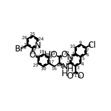 O=C(O)c1cc2cc(Cl)ccc2nc1N[C@@H](Cc1ccc(Oc2ncccc2Br)cc1)C(=O)O